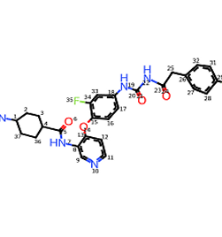 NC1CCC(C(=O)Nc2cnccc2Oc2ccc(NC(=O)NC(=O)Cc3ccc(F)cc3)cc2F)CC1